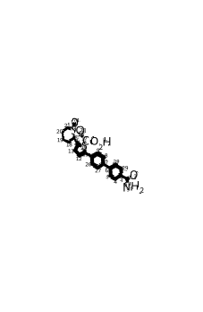 NC(=O)c1ccc(-c2ccc(-c3ccc([C@@]4(CC(=O)O)CCCCS4(=O)=O)s3)cc2)cc1